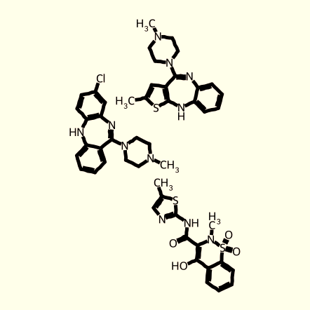 CN1CCN(C2=Nc3cc(Cl)ccc3Nc3ccccc32)CC1.Cc1cc2c(s1)Nc1ccccc1N=C2N1CCN(C)CC1.Cc1cnc(NC(=O)C2=C(O)c3ccccc3S(=O)(=O)N2C)s1